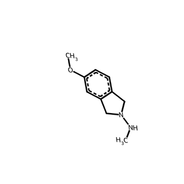 CNN1Cc2ccc(OC)cc2C1